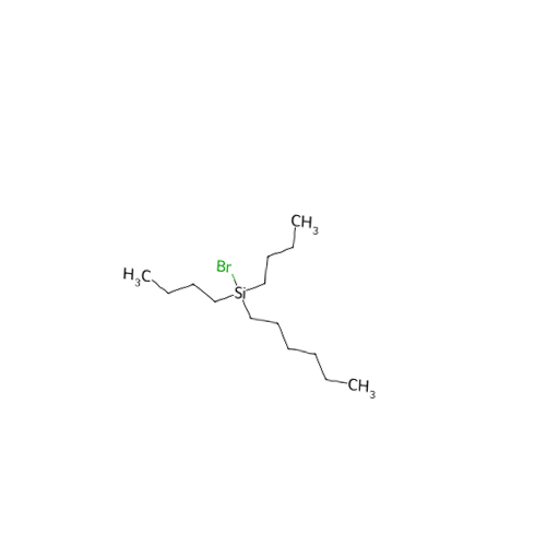 CCCCCC[Si](Br)(CCCC)CCCC